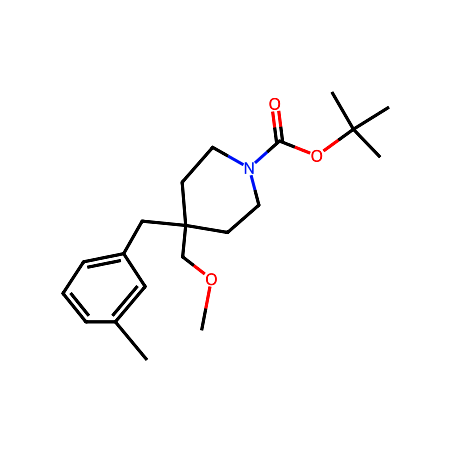 COCC1(Cc2cccc(C)c2)CCN(C(=O)OC(C)(C)C)CC1